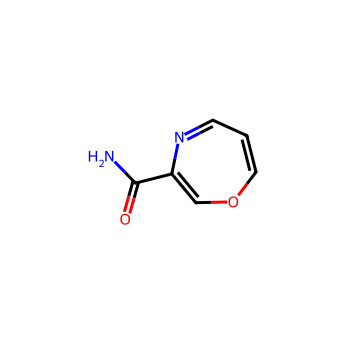 NC(=O)C1=COC=CC=N1